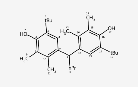 CCCC(c1cc(C(C)(C)C)c(O)c(C)c1C)c1cc(C(C)(C)C)c(O)c(C)c1C